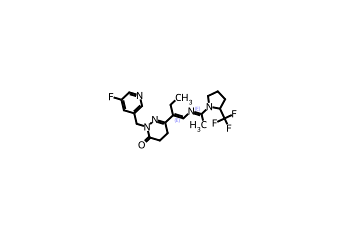 CC/C(=C\N=C(/C)N1CCCC1C(F)(F)F)C1=NN(Cc2cncc(F)c2)C(=O)CC1